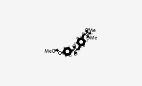 COCOc1ccc(S(=O)(=O)Cc2ccc(C[Si](C)(OC)OC)cc2)cc1